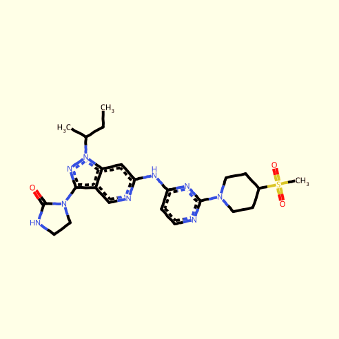 CCC(C)n1nc(N2CCNC2=O)c2cnc(Nc3ccnc(N4CCC(S(C)(=O)=O)CC4)n3)cc21